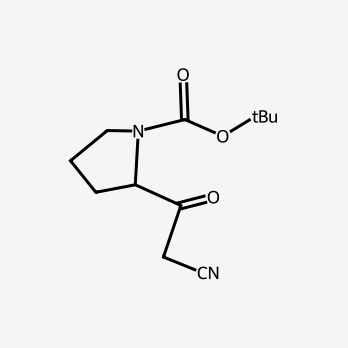 CC(C)(C)OC(=O)N1CCCC1C(=O)CC#N